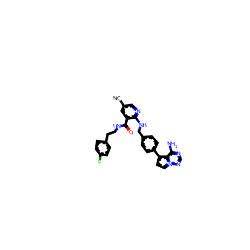 N#Cc1cnc(NCc2ccc(-c3ccn4ncnc(N)c34)cc2)c(C(=O)NCCc2ccc(F)cc2)c1